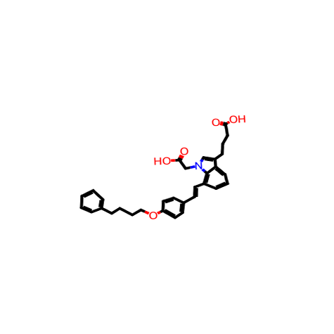 O=C(O)CCCc1cn(CC(=O)O)c2c(C=Cc3ccc(OCCCCc4ccccc4)cc3)cccc12